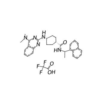 CC(NC(=O)[C@H]1CC[C@@H](Nc2nc(N(C)C)c3ccccc3n2)CC1)c1cccc2ccccc12.O=C(O)C(F)(F)F